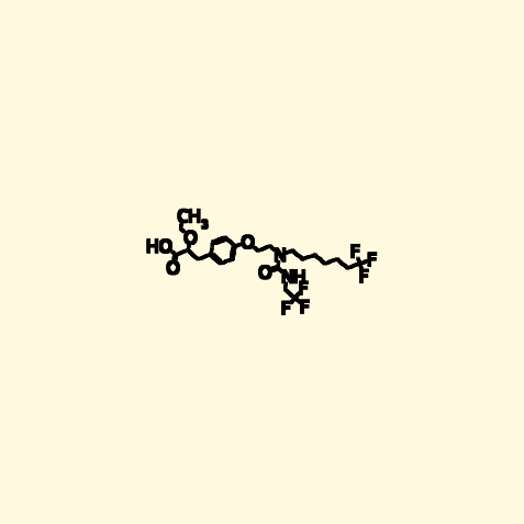 CCOC(Cc1ccc(OCCN(CCCCCCC(F)(F)F)C(=O)NCC(F)(F)F)cc1)C(=O)O